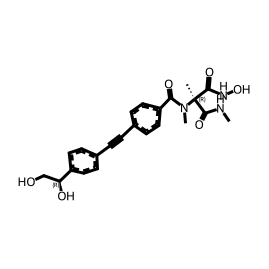 CNC(=O)[C@](C)(C(=O)NO)N(C)C(=O)c1ccc(C#Cc2ccc([C@@H](O)CO)cc2)cc1